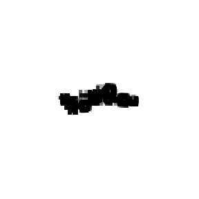 COc1ccc(CC2CCCC(F)=C2Nc2cc(C3CCC(c4ncc(C(C)(C)C)o4)C3)[nH]n2)cc1